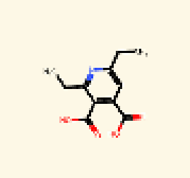 CCc1cc(C(=O)O)c(C(=O)O)c(CC)n1